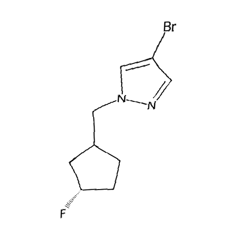 F[C@H]1CCC(Cn2cc(Br)cn2)C1